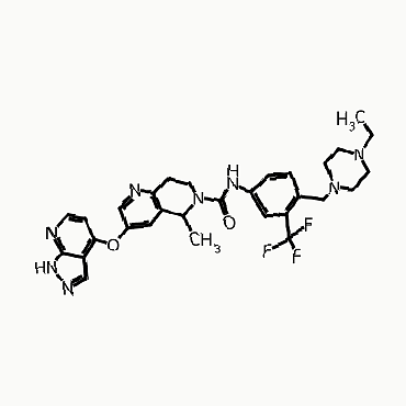 CCN1CCN(Cc2ccc(NC(=O)N3CCc4ncc(Oc5ccnc6[nH]ncc56)cc4C3C)cc2C(F)(F)F)CC1